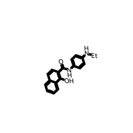 CCNc1ccc(NC(=O)c2ccc3ccccc3c2O)cc1